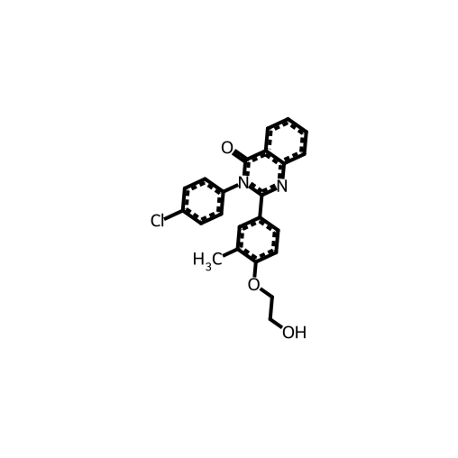 Cc1cc(-c2nc3ccccc3c(=O)n2-c2ccc(Cl)cc2)ccc1OCCO